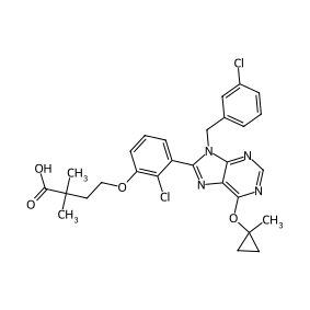 CC1(Oc2ncnc3c2nc(-c2cccc(OCCC(C)(C)C(=O)O)c2Cl)n3Cc2cccc(Cl)c2)CC1